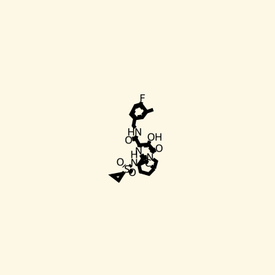 Cc1cc(CNC(=O)c2nc3n(c(=O)c2O)CC2CCC3(NS(=O)(=O)C3CC3)CC2)ccc1F